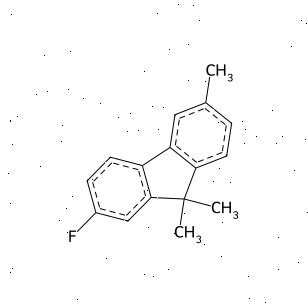 Cc1ccc2c(c1)-c1ccc(F)cc1C2(C)C